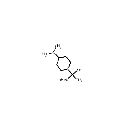 CCCCCCC(C)(CC)N1CCC(N(C)C)CC1